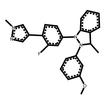 COc1cccc(N2C(C)c3ccccc3N2c2ccc(-c3cnn(C)c3)c(F)c2)c1